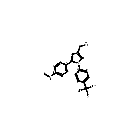 COc1ccc(-c2nc(CO)cn2-c2ccc(C(F)(F)F)cc2)cc1